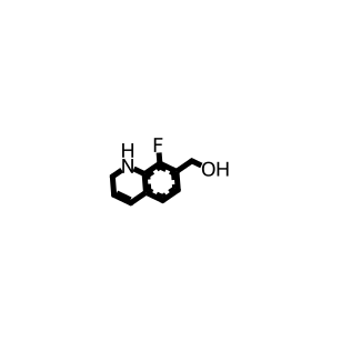 OCc1ccc2c(c1F)NCC=C2